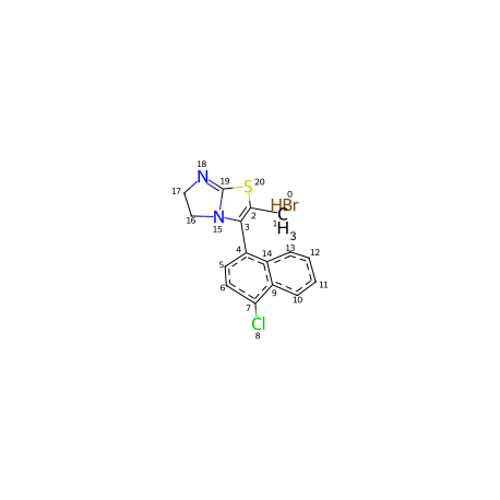 Br.CC1=C(c2ccc(Cl)c3ccccc23)N2CCN=C2S1